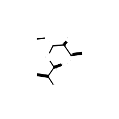 [CH2]C[C@@H](OC(=O)C(=C)C)C(=O)C=C